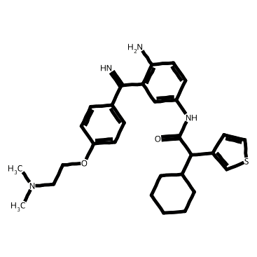 CN(C)CCOc1ccc(C(=N)c2cc(NC(=O)C(c3ccsc3)C3CCCCC3)ccc2N)cc1